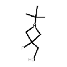 CC(C)(C)N1CC(F)(CO)C1